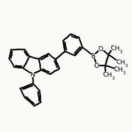 CC1(C)OB(c2cccc(-c3ccc4c(c3)c3ccccc3n4-c3ccccc3)c2)OC1(C)C